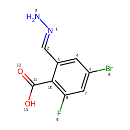 N/N=C/c1cc(Br)cc(F)c1C(=O)O